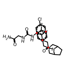 NC(=O)CNC(=O)Nc1cc(Cl)cnc1OCC(=O)N1C2CCC1CN(Cc1ccc(F)cc1)C2